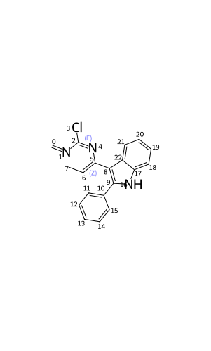 C=N/C(Cl)=N\C(=C/C)c1c(-c2ccccc2)[nH]c2ccccc12